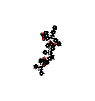 C1=CC2c3c(-c4ccc5c(-c6cc(-c7cccc8c7Oc7ccccc7C87c8ccccc8-c8cc(-c9ccccc9-c9ccc(C%10=NC(c%11ccc(-c%12ccccc%12)cc%11)NC(c%11cccc%12c%11Oc%11ccccc%11C%12%11c%12ccccc%12-c%12ccccc%12%11)=C%10)cc9)ccc87)nc(-c7ccccc7)n6)cccc5c4)cccc3C3(c4ccccc4Oc4c(-c5cc(-c6ccccn6)nc(C6=CCCC=C6)n5)cccc43)C2C=C1